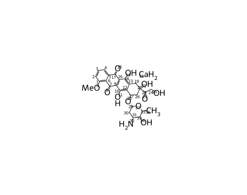 COc1cccc2c1C(=O)c1c(O)c3c(c(O)c1C2=O)C[C@@](O)(C(=O)CO)C[C@@H]3O[C@H]1C[C@H](N)[C@H](O)[C@H](C)O1.[CaH2]